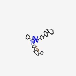 c1ccc(-c2ccc(-c3ccc(-c4nc(-c5ccccc5)nc(-c5ccc6c(c5)sc5c(-c7ccccc7)cccc56)n4)cc3)cc2)cc1